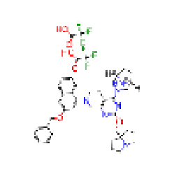 O=C(O)C(F)(F)F.O=C(O)C(F)(F)F.c1ccc(COc2cc(N3CCc4c(nc(OCC56CCCN5CCC6)nc4N4C[C@H]5CC[C@@H](C4)N5)C3)c3ccccc3c2)cc1